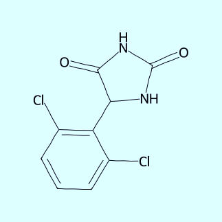 O=C1NC(=O)C(c2c(Cl)cccc2Cl)N1